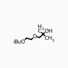 CC(C)COCCOCC(C)(C)O